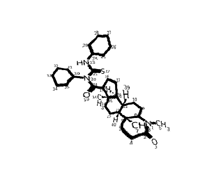 CN1C(=O)CC[C@@]2(C)C1CC[C@@H]1[C@H]2CC[C@]2(C)C(C(=O)N(C(=S)NC3CCCCC3)C3CCCCC3)CC[C@@H]12